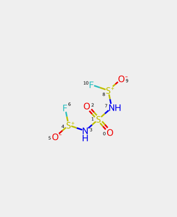 O=S(=O)(N[S+]([O-])F)N[S+]([O-])F